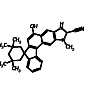 CN1c2cc3c4c(cc(O)c3cc2NC1C#N)C1(CC(C)(C)CC(C)(C)C1)c1ccccc1-4